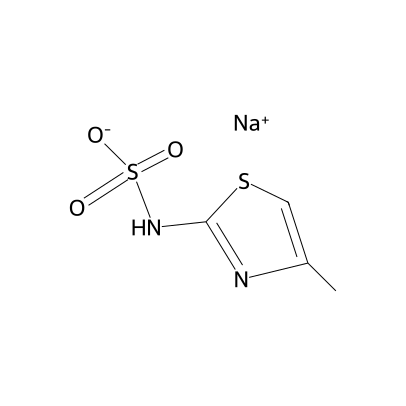 Cc1csc(NS(=O)(=O)[O-])n1.[Na+]